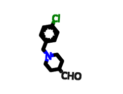 O=CC1CCN(Cc2ccc(Cl)cc2)CC1